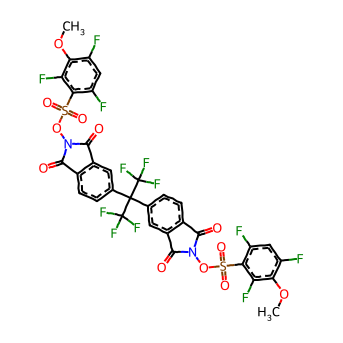 COc1c(F)cc(F)c(S(=O)(=O)ON2C(=O)c3ccc(C(c4ccc5c(c4)C(=O)N(OS(=O)(=O)c4c(F)cc(F)c(OC)c4F)C5=O)(C(F)(F)F)C(F)(F)F)cc3C2=O)c1F